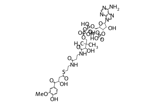 COc1cc(C(=O)C(O)CC(=O)SCCNC(=O)CCNC(=O)[C@H](O)C(C)(C)COP(=O)(O)OP(=O)(O)OC[C@H]2O[C@@H](n3cnc4c(N)ncnc43)[C@H](O)[C@@H]2OP(=O)(O)O)ccc1O